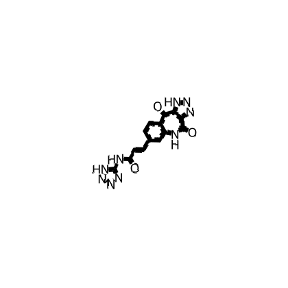 O=C(/C=C/c1ccc2c(=O)c3[nH]nnc3c(=O)[nH]c2c1)Nc1nnn[nH]1